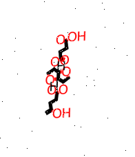 C=C(O)CCC(=O)O[C@H]1CO[C@H]2[C@@H]1OC[C@@H]2OC(=O)CCC(=O)O